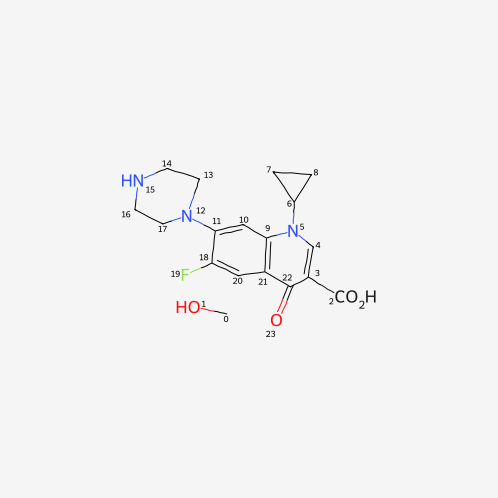 CO.O=C(O)c1cn(C2CC2)c2cc(N3CCNCC3)c(F)cc2c1=O